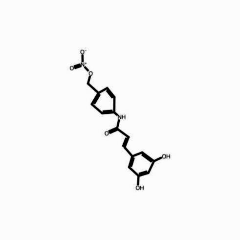 O=C(C=Cc1cc(O)cc(O)c1)Nc1ccc(CO[N+](=O)[O-])cc1